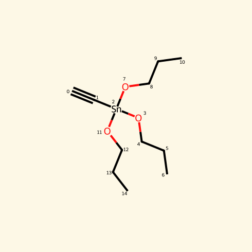 C#[C][Sn]([O]CCC)([O]CCC)[O]CCC